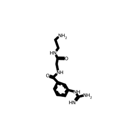 N=C(N)Nc1cccc(C(=O)NCC(=O)NCCN)c1